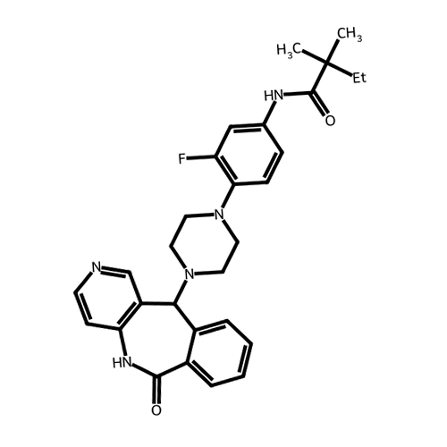 CCC(C)(C)C(=O)Nc1ccc(N2CCN(C3c4cnccc4NC(=O)c4ccccc43)CC2)c(F)c1